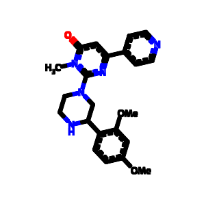 COc1ccc(C2CN(c3nc(-c4ccncc4)cc(=O)n3C)CCN2)c(OC)c1